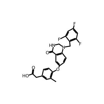 Cc1cc(CC(=O)O)ccc1Oc1ccc2c(c1)C(=O)NCN2Cc1c(F)cc(F)cc1F